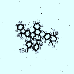 Cc1cc2c(cc1N1c3cc4ccccc4c4c3B(c3c1oc1ccccc31)N(c1ccc(C(C)(C)C)cc1)c1cc3c(cc1-4)-c1ccccc1C3(C)C)C(C)(C)CCC2(C)C